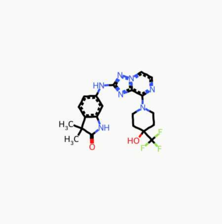 CC1(C)C(=O)Nc2cc(Nc3nc4c(N5CCC(O)(C(F)(F)F)CC5)nccn4n3)ccc21